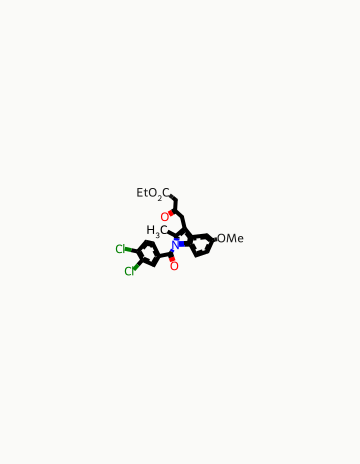 CCOC(=O)CC(=O)Cc1c(C)n(C(=O)c2ccc(Cl)c(Cl)c2)c2ccc(OC)cc12